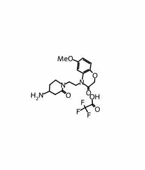 COc1ccc2c(c1)N(CCN1CCC(N)CC1=O)C(=O)CO2.O=C(O)C(F)(F)F